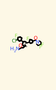 NCc1cc2cc(-c3ccc(C(=O)N4CCC(F)(F)CC4)cc3F)cc(-c3ccc(F)c(Cl)c3)c2o1